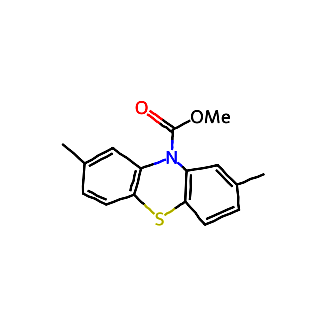 COC(=O)N1c2cc(C)ccc2Sc2ccc(C)cc21